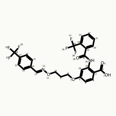 O=C(O)c1ccc(OCCCON=Cc2ccc(C(F)(F)F)cc2)cc1NC(=O)c1ccccc1C(F)(F)F